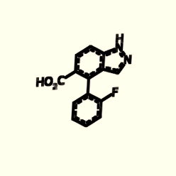 O=C(O)c1ccc2[nH]ncc2c1-c1ccccc1F